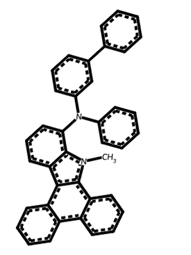 Cn1c2c(N(c3ccccc3)c3cccc(-c4ccccc4)c3)cccc2c2c3ccccc3c3ccccc3c21